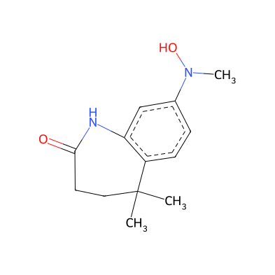 CN(O)c1ccc2c(c1)NC(=O)CCC2(C)C